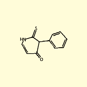 O=C1C=CNC(=S)C1c1ccccc1